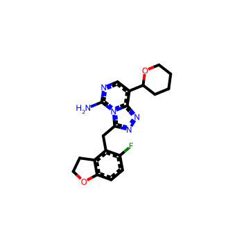 Nc1ncc(C2CCCCO2)c2nnc(Cc3c(F)ccc4c3CCO4)n12